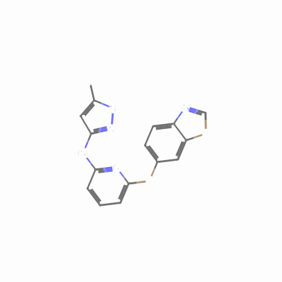 Cc1cc(Nc2cccc(Sc3ccc4ncsc4c3)n2)n[nH]1